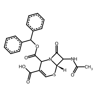 CC(=O)NC1C(=O)N2C(C(=O)OC(c3ccccc3)c3ccccc3)C(C(=O)O)=CS[C@@H]12